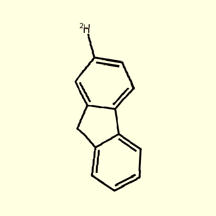 [2H]c1ccc2c(c1)Cc1ccccc1-2